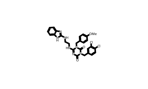 COc1ccc(Cn2c(NCCNc3nc4ccccc4[nH]3)nc(=O)n(Cc3ccc(Cl)c(Cl)c3)c2=O)cc1